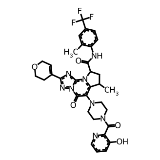 Cc1cc(C(F)(F)F)ccc1NC(=O)C1CC(C)c2c(N3CCN(C(=O)c4ncccc4O)CC3)c(=O)n3nc(C4=CCOCC4)nc3n21